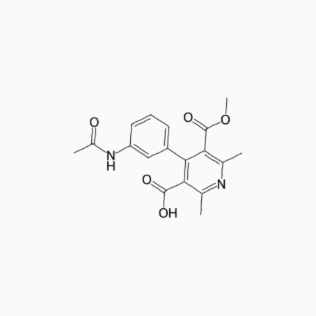 COC(=O)c1c(C)nc(C)c(C(=O)O)c1-c1cccc(NC(C)=O)c1